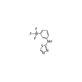 F[B-](F)(F)c1cccc(Nc2nncs2)c1